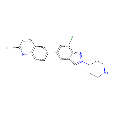 Cc1ccc2cc(-c3cc(F)c4nn(C5CCNCC5)cc4c3)ccc2n1